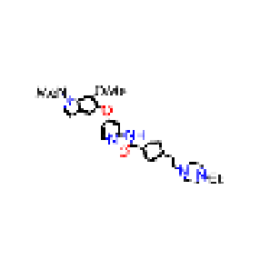 CCN1CCN(CCc2ccc(C(=O)Nc3cc(Oc4cc5ccn(NC)c5cc4OC)ccn3)cc2)CC1